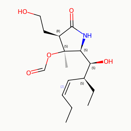 CC/C=C\[C@H](CC)[C@H](O)[C@@H]1NC(=O)[C@H](CCO)[C@]1(C)OC=O